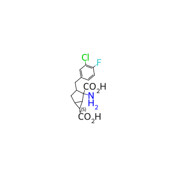 NC1(C(=O)O)C(Cc2ccc(F)c(Cl)c2)CC2C1[C@H]2C(=O)O